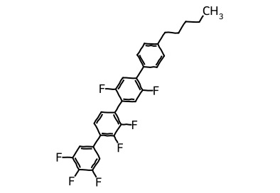 CCCCCc1ccc(-c2cc(F)c(-c3ccc(-c4cc(F)c(F)c(F)c4)c(F)c3F)cc2F)cc1